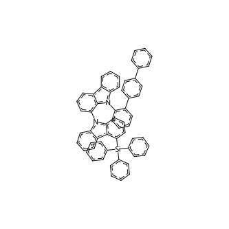 c1ccc(-c2ccc(-c3ccccc3-n3c4ccccc4c4cccc(-n5c6ccccc6c6c([Si](c7ccccc7)(c7ccccc7)c7ccccc7)cccc65)c43)cc2)cc1